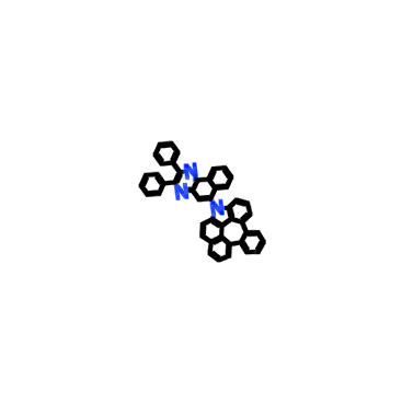 c1ccc(-c2nc3cc(-n4c5cccc6c5c5c7c(cccc7ccc54)-c4ccccc4-6)c4ccccc4c3nc2-c2ccccc2)cc1